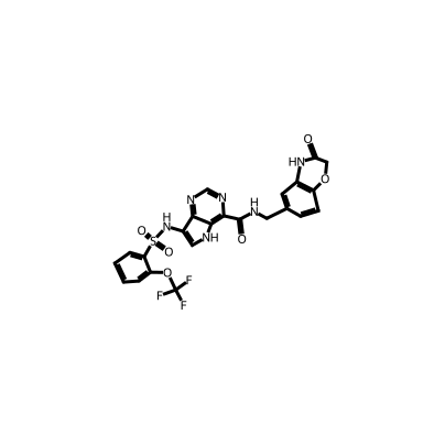 O=C1COc2ccc(CNC(=O)c3ncnc4c(NS(=O)(=O)c5ccccc5OC(F)(F)F)c[nH]c34)cc2N1